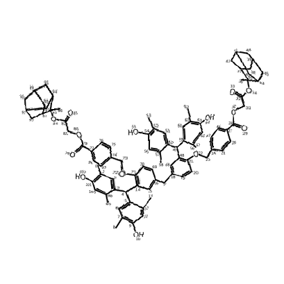 Cc1cc(C(c2cc(C)c(O)cc2C)c2cc(Cc3ccc(OCc4ccc(C(=O)OCC(=O)OC5(C)C6CC7CC(C6)CC5C7)cc4)c(C(c4cc(C)c(O)cc4C)c4cc(C)c(O)cc4C)c3)ccc2OCc2ccc(C(=O)OCC(=O)OC3(C)C4CC5CC(C4)CC3C5)cc2)c(C)cc1O